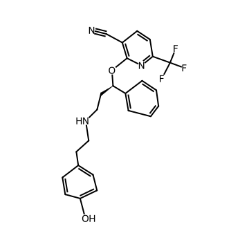 N#Cc1ccc(C(F)(F)F)nc1O[C@H](CCNCCc1ccc(O)cc1)c1ccccc1